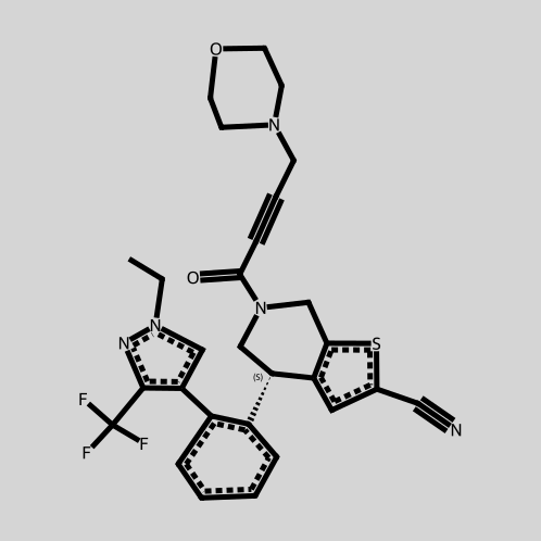 CCn1cc(-c2ccccc2[C@@H]2CN(C(=O)C#CCN3CCOCC3)Cc3sc(C#N)cc32)c(C(F)(F)F)n1